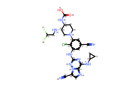 N#Cc1cc(Nc2nc(NC3CC3)c3ncc(C#N)n3n2)c(Cl)c(N2CC[C@H](NC(=O)O)[C@@H](NCC(F)F)C2)c1